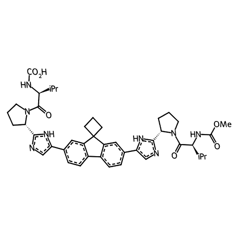 COC(=O)N[C@H](C(=O)N1CCC[C@H]1c1ncc(-c2ccc3c(c2)C2(CCC2)c2cc(-c4cnc([C@@H]5CCCN5C(=O)[C@@H](NC(=O)O)C(C)C)[nH]4)ccc2-3)[nH]1)C(C)C